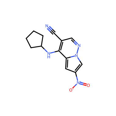 N#Cc1cnn2cc([N+](=O)[O-])cc2c1NC1CCCC1